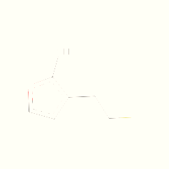 Cc1occc1CCS